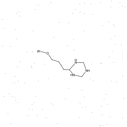 CC(C)OCCCC1NCNCN1